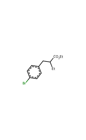 CCOC(=O)C(CC)Cc1ccc(Br)cc1